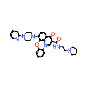 O=C(NCCN1CCCC1)c1cn2c3c(c(N4CCN(c5ccccn5)CC4)ccc3c1=O)Oc1ccccc1-2